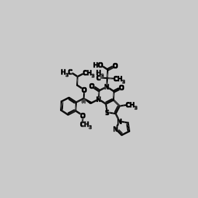 COc1ccccc1[C@H](Cn1c(=O)n(C(C)(C)C(=O)O)c(=O)c2c(C)c(-n3cccn3)sc21)OCC(C)C